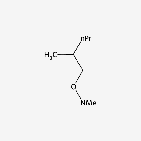 CCCC(C)CONC